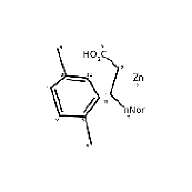 CCCCCCCCCCCC(=O)O.Cc1ccc(C)cc1.[Zn]